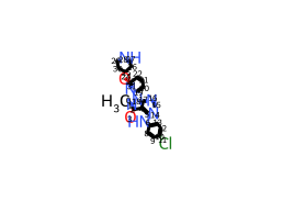 Cn1c(=O)c2c(Nc3ccc(Cl)cc3)ncnc2n1-c1cccc(OC2CCNCC2)n1